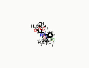 CC(C)(C)OC(=O)C(N)(CC=O)C[C@@H](O[Si](C)(C)C(C)(C)C)c1cccc(Cl)c1